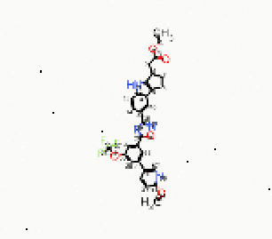 CCOC(=O)CC1CCc2c1[nH]c1ccc(-c3noc(-c4cc(OC(F)(F)F)cc(-c5ccc(OC)nc5)c4)n3)cc21